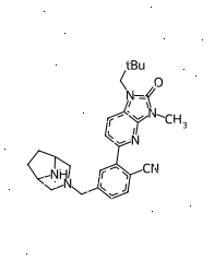 Cn1c(=O)n(CC(C)(C)C)c2ccc(-c3cc(CN4CC5CCC(C4)N5)ccc3C#N)nc21